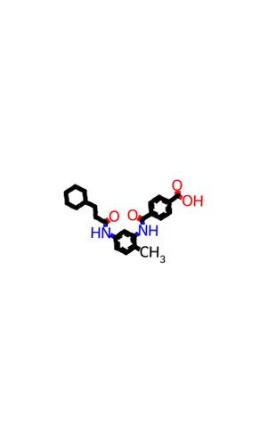 Cc1ccc(NC(=O)CCC2CCCCC2)cc1NC(=O)c1ccc(C(=O)O)cc1